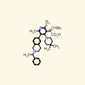 Cc1nc(C)c([C@H](OC(C)(C)C)C(=O)O)c(N2CCC(C)(C)CC2)c1-c1ccc2c(c1)CCN(C(C)c1ccccc1)C2